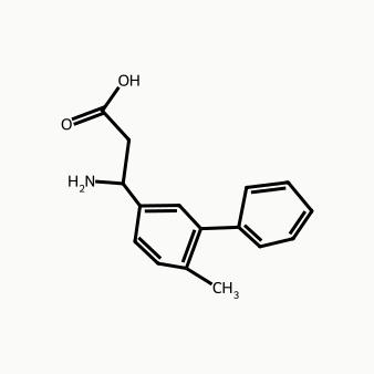 Cc1ccc(C(N)CC(=O)O)cc1-c1ccccc1